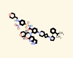 CC(C)c1ccccc1[C@@H]1CCCN1C1CC2(CCN(c3ccc(C(=O)NS(=O)(=O)c4ccc(NCC5CCOCC5)c([N+](=O)[O-])c4)c(N4C[C@@H]5CCOC[C@@H]5Oc5nc6[nH]ccc6cc54)c3)CC2)C1